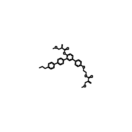 C=C(COC)C(=O)OCCOc1ccc(-c2ccc(OC(=O)C(=C)COC)c(-c3ccc(-c4ccc(CCC)cc4)cc3)c2)cc1